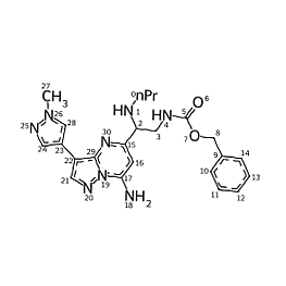 CCCNC(CNC(=O)OCc1ccccc1)c1cc(N)n2ncc(-c3cnn(C)c3)c2n1